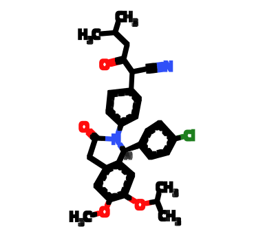 COc1cc2c(cc1OC(C)C)[C@H](c1ccc(Cl)cc1)N(c1ccc(C(C#N)C(=O)CC(C)C)cc1)C(=O)C2